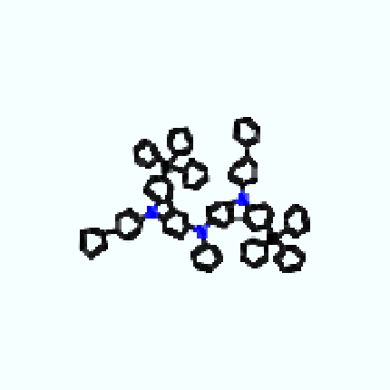 c1ccc(-c2ccc(-n3c4ccc(N(c5ccccc5)c5ccc6c(c5)c5cc([Si](c7ccccc7)(c7ccccc7)c7ccccc7)ccc5n6-c5ccc(-c6ccccc6)cc5)cc4c4cc([Si](c5ccccc5)(c5ccccc5)c5ccccc5)ccc43)cc2)cc1